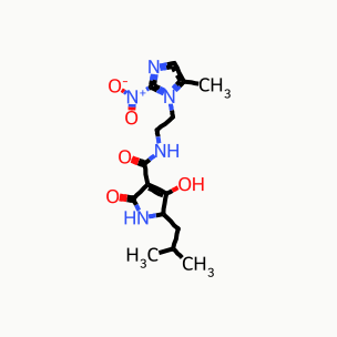 Cc1cnc([N+](=O)[O-])n1CCNC(=O)C1=C(O)C(CC(C)C)NC1=O